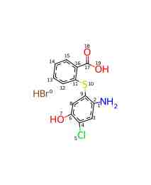 Br.Nc1cc(Cl)c(O)cc1Sc1ccccc1C(=O)O